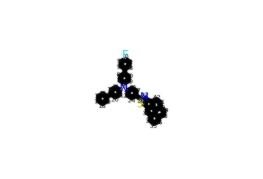 Fc1ccc(-c2ccc(N(c3ccc(-c4ccccc4)cc3)c3ccc(-c4nc5c(s4)-c4cc6cccc7ccc8ccc-5c4c8c76)cc3)cc2)cc1